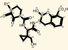 CCN1CCN(C(=O)N[C@@H](C(=O)N[C@H]2Cc3cccc(C(=O)O)c3OB2O)C2(CO)CC2)C(=O)C1=O